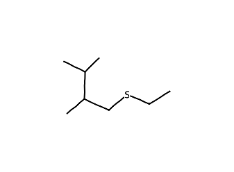 CCSCC(C)C(C)C